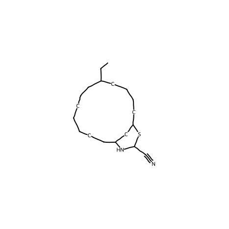 CCC1CCCCCCCC2CC(CCCC1)SC(C#N)N2